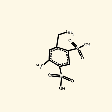 Cc1cc(CN)c(S(=O)(=O)O)cc1S(=O)(=O)O